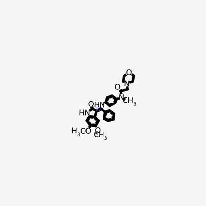 COc1cc2c(cc1OC)/C(=C(/Nc1ccc(N(C)C(=O)CN3CCOCC3)cc1)c1ccccc1)C(=O)N2